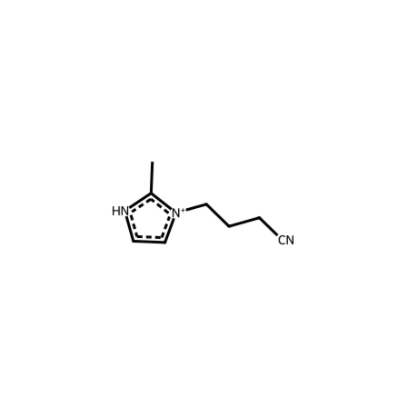 Cc1[nH]cc[n+]1CCCC#N